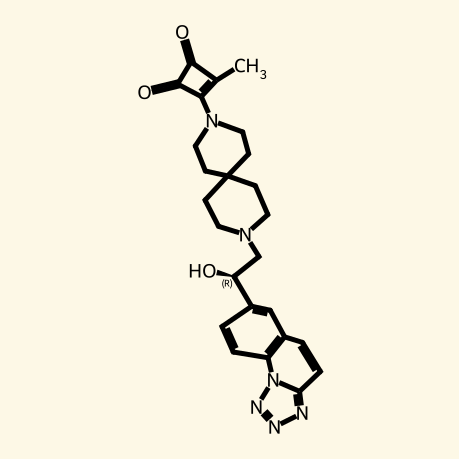 Cc1c(N2CCC3(CCN(C[C@H](O)c4ccc5c(ccc6nnnn65)c4)CC3)CC2)c(=O)c1=O